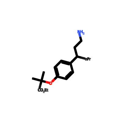 CCCC(CCN)c1ccc(OC(C)(C)C(=O)OCC)cc1